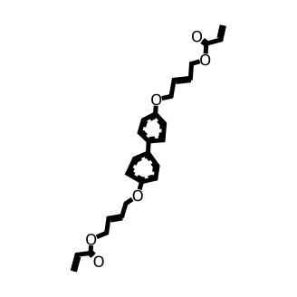 C=CC(=O)OC/C=C/COc1ccc(-c2ccc(OC/C=C/COC(=O)C=C)cc2)cc1